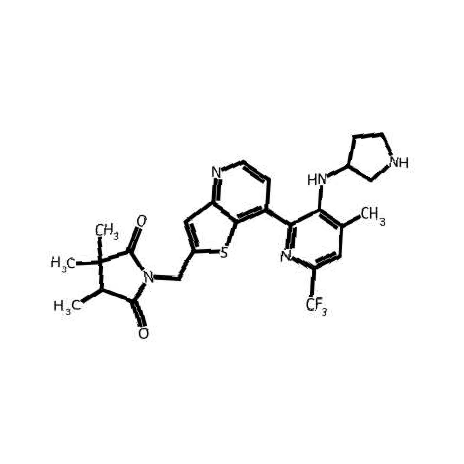 Cc1cc(C(F)(F)F)nc(-c2ccnc3cc(CN4C(=O)C(C)C(C)(C)C4=O)sc23)c1NC1CCNC1